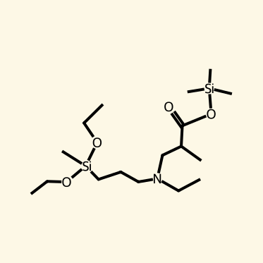 CCO[Si](C)(CCCN(CC)CC(C)C(=O)O[Si](C)(C)C)OCC